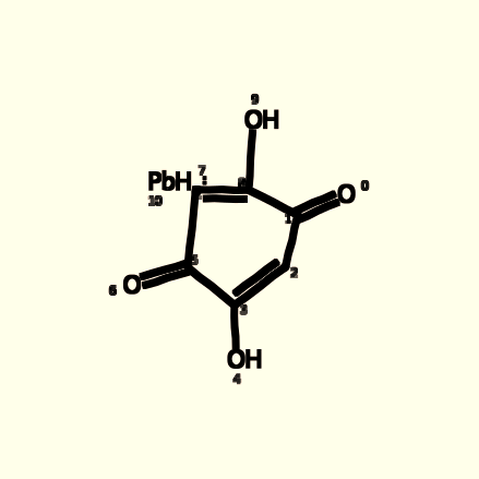 O=C1C=C(O)C(=O)C=C1O.[PbH2]